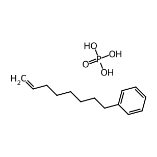 C=CCCCCCCc1ccccc1.O=P(O)(O)O